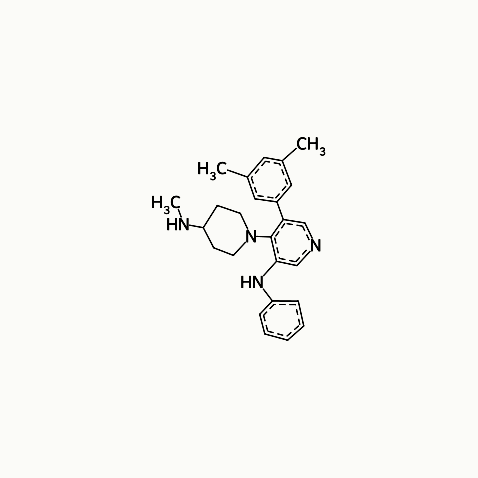 CNC1CCN(c2c(Nc3ccccc3)cncc2-c2cc(C)cc(C)c2)CC1